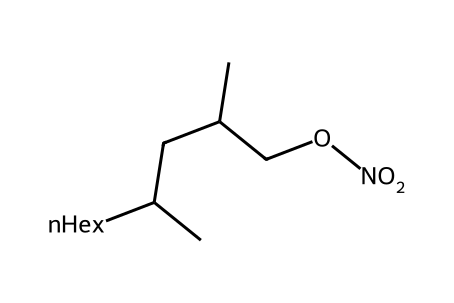 CCCCCCC(C)CC(C)CO[N+](=O)[O-]